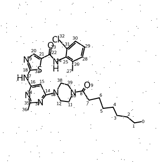 CCCCCCCCC(=O)N1CCN(c2cc(Nc3ncc(C(=O)Nc4c(C)cccc4Cl)s3)nc(C)n2)CC1